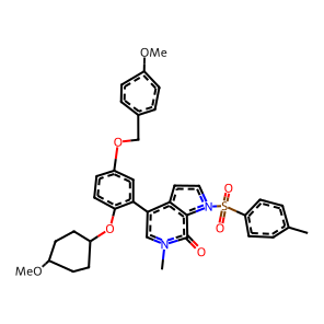 COc1ccc(COc2ccc(OC3CCC(OC)CC3)c(-c3cn(C)c(=O)c4c3ccn4S(=O)(=O)c3ccc(C)cc3)c2)cc1